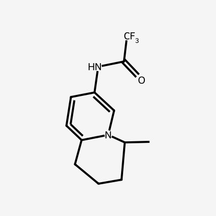 CC1CCCC2=C=CC(NC(=O)C(F)(F)F)=CN21